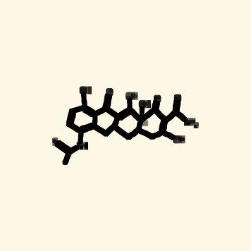 CC(=S)Nc1ccc(O)c2c1CC1CC3CC(O)=C(C(N)=O)C(=O)[C@@]3(O)C(O)=C1C2=O